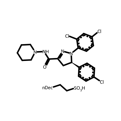 CCCCCCCCCCCCS(=O)(=O)O.O=C(NN1CCCCC1)C1=NN(c2ccc(Cl)cc2Cl)[C@@H](c2ccc(Cl)cc2)C1